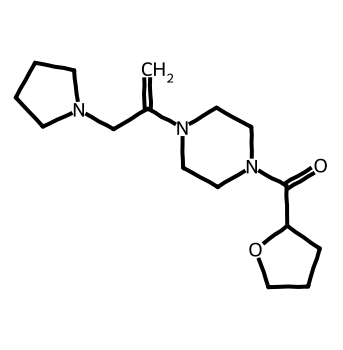 C=C(CN1CCCC1)N1CCN(C(=O)C2CCCO2)CC1